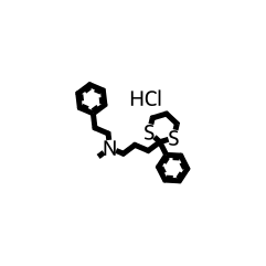 CN(CCCC1(c2ccccc2)SCCCS1)CCc1ccccc1.Cl